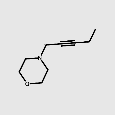 CCC#C[CH]N1CCOCC1